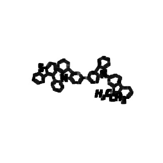 CC1(C)c2ccccc2-c2ccc(-n3c4ccccc4c4cc(-c5ccc6c(c5)c5ccccc5n6-c5ccccc5-c5cccc6sc7ccccc7c56)ccc43)cc21